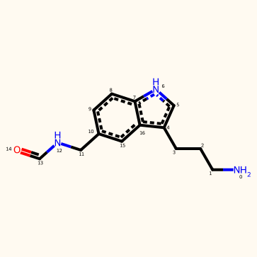 NCCCc1c[nH]c2ccc(CNC=O)cc12